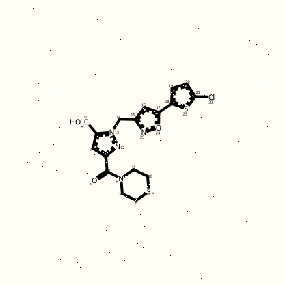 O=C(O)c1cc(C(=O)N2CCSCC2)nn1Cc1cc(-c2ccc(Cl)s2)on1